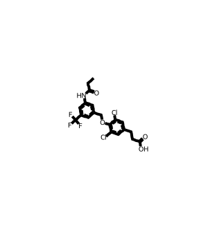 CCC(=O)Nc1cc(COc2c(Cl)cc(CCC(=O)O)cc2Cl)cc(C(F)(F)F)c1